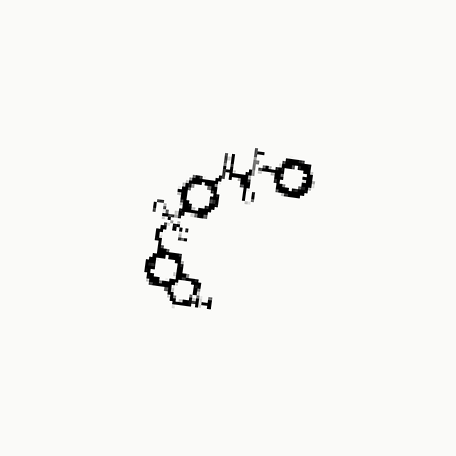 O=C(Nc1ccccc1)Nc1ccc(S(=O)(=O)Cc2ccc3c(c2)CNC3)cc1